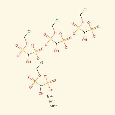 O=P([O-])([O-])C(O)P(=O)([O-])OCCl.O=P([O-])([O-])C(O)P(=O)([O-])OCCl.O=P([O-])([O-])C(O)P(=O)([O-])OCCl.O=P([O-])([O-])C(O)P(=O)([O-])OCCl.[Sn+4].[Sn+4].[Sn+4]